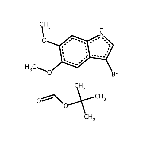 CC(C)(C)OC=O.COc1cc2[nH]cc(Br)c2cc1OC